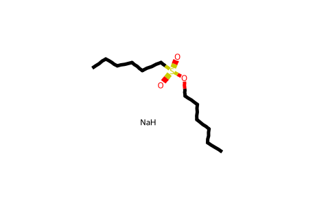 CCCCCCOS(=O)(=O)CCCCCC.[NaH]